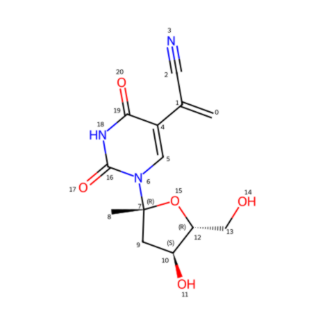 C=C(C#N)c1cn([C@@]2(C)C[C@H](O)[C@@H](CO)O2)c(=O)[nH]c1=O